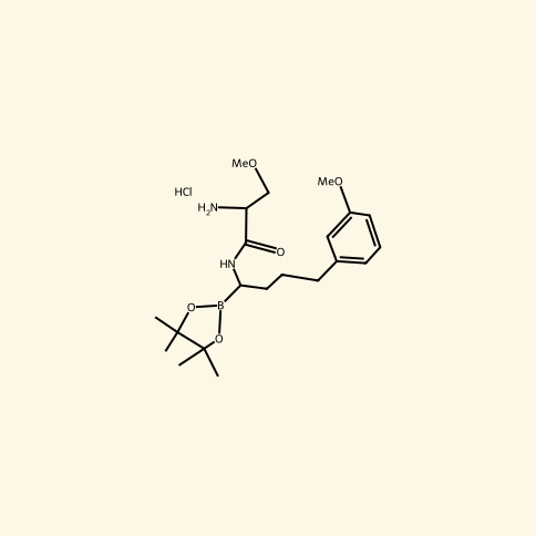 COCC(N)C(=O)NC(CCCc1cccc(OC)c1)B1OC(C)(C)C(C)(C)O1.Cl